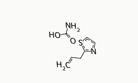 C=CCc1nccs1.NC(=O)O